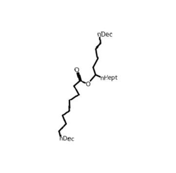 CCCCCCCCCCCCCCCCCC(=O)OC(CCCCCCC)CCCCCCCCCCCCCC